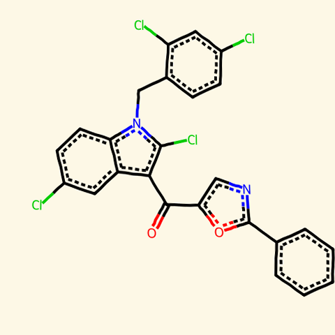 O=C(c1cnc(-c2ccccc2)o1)c1c(Cl)n(Cc2ccc(Cl)cc2Cl)c2ccc(Cl)cc12